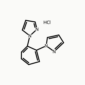 Cl.c1ccc(-n2cccn2)c(-n2cccn2)c1